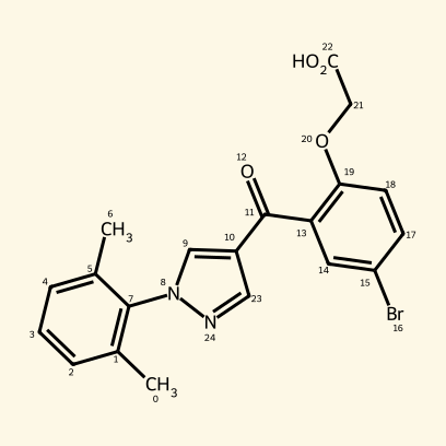 Cc1cccc(C)c1-n1cc(C(=O)c2cc(Br)ccc2OCC(=O)O)cn1